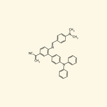 C=C(C#N)c1ccc(/N=C/c2ccc(N(C)C)cc2)c(-c2ccc(N(c3ccccc3)c3ccccc3)cc2)c1